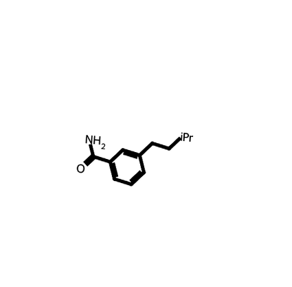 CC(C)CCc1cccc(C(N)=O)c1